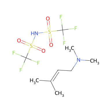 CC(C)=CCN(C)C.O=S(=O)(NS(=O)(=O)C(F)(F)F)C(F)(F)F